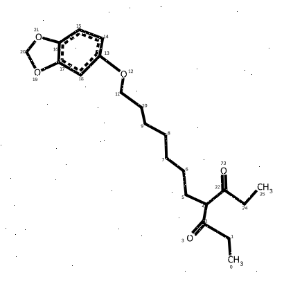 CCC(=O)C(CCCCCCCOc1ccc2c(c1)OCO2)C(=O)CC